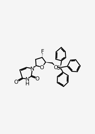 O=c1ccn([C@H]2C[C@H](F)[C@@H](CO[Si](c3ccccc3)(c3ccccc3)c3ccccc3)O2)c(=O)[nH]1